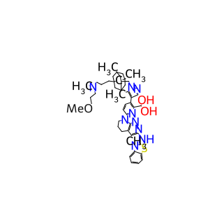 COCCCN(C)CCCC12CC3CC(C)(CC(C)(CC3Cn3ncc(-c4ccc(N5CCCc6c5nnc(Nc5nc7ccccc7s5)c6C)nc4C(O)O)c3C)C1)C2